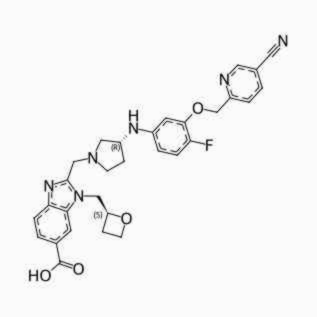 N#Cc1ccc(COc2cc(N[C@@H]3CCN(Cc4nc5ccc(C(=O)O)cc5n4C[C@@H]4CCO4)C3)ccc2F)nc1